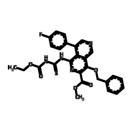 CCOC(=O)NC(=S)Nc1nc(C(=O)OC)c(OCc2ccccc2)c2cncc(-c3ccc(F)cc3)c12